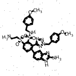 COc1ccc(CNS(=O)(=O)c2c(S(=O)(=O)CCN)ccc(-c3ccc4[nH]c(N)nc4c3)c2-c2nnn(Cc3ccc(OC)cc3)n2)cc1